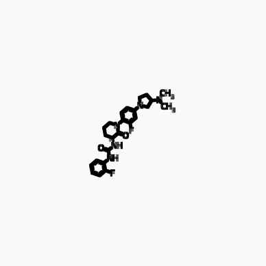 CN(C)C1CCN(c2ccc(N3CCC[C@@H](NC(=O)Nc4ccccc4F)C3=O)c(F)c2)C1